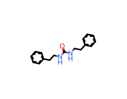 O=C(NCCc1ccccc1)NCCc1ccccc1